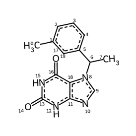 Cc1cccc(C(C)n2cnc3[nH]c(=O)[nH]c(=O)c32)c1